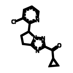 O=C(c1nc2n(n1)C(c1ncccc1Cl)CC2)C1CC1